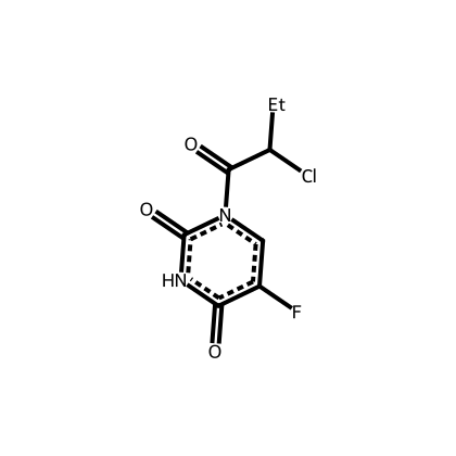 CCC(Cl)C(=O)n1cc(F)c(=O)[nH]c1=O